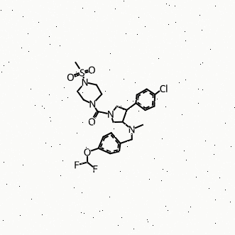 CN(Cc1ccc(OC(F)F)cc1)C1CN(C(=O)N2CCN(S(C)(=O)=O)CC2)CC1c1ccc(Cl)cc1